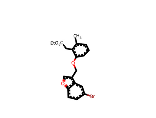 CCOC(=O)Cc1c(C)cccc1OCc1coc2ccc(Br)cc12